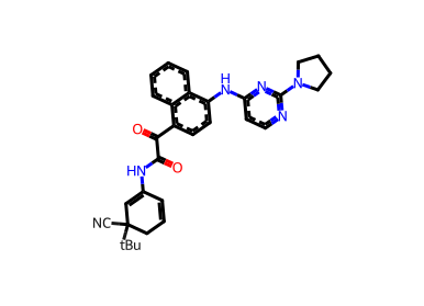 CC(C)(C)C1(C#N)C=C(NC(=O)C(=O)c2ccc(Nc3ccnc(N4CCCC4)n3)c3ccccc23)C=CC1